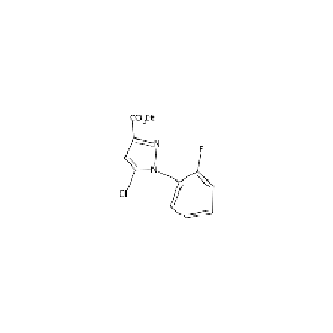 CCOC(=O)c1cc(Cl)n(-c2ccccc2F)n1